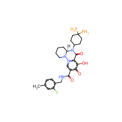 Cc1ccc(CNC(=O)c2cn3c(c(O)c2=O)C(=O)N(C2CCC(P)(P)CC2)[C@@H]2CCCCN23)c(F)c1